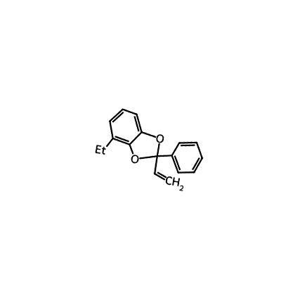 C=CC1(c2ccccc2)Oc2cccc(CC)c2O1